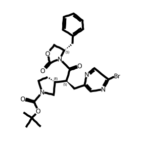 CC(C)(C)OC(=O)N1CC[C@H]([C@H](Cc2cnc(Br)cn2)C(=O)N2C(=O)OC[C@@H]2Cc2ccccc2)C1